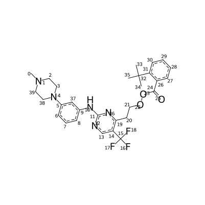 CN1CCN(c2cccc(Nc3ncc(C(F)(F)F)c(CCOOC(=O)c4ccccc4C(C)(C)C)n3)c2)CC1